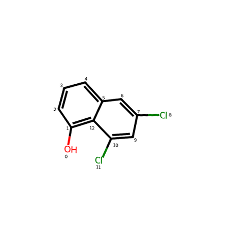 Oc1cccc2cc(Cl)cc(Cl)c12